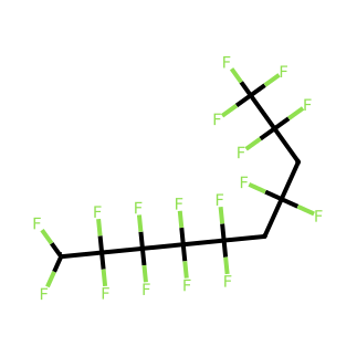 F[C](F)C(F)(F)C(F)(F)C(F)(F)C(F)(F)CC(F)(F)CC(F)(F)C(F)(F)F